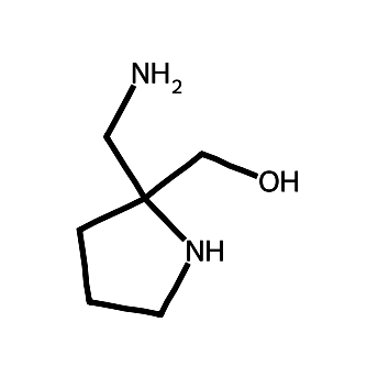 NCC1(CO)CCCN1